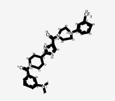 CN(C)c1cccc(C(=O)N2CCC(c3nc(C(=O)N4CCN(c5cccc(C(F)(F)F)c5)CC4)cs3)CC2)c1